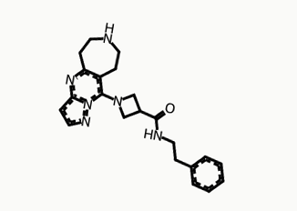 O=C(NCCc1ccccc1)C1CN(c2c3c(nc4ccnn24)CCNCC3)C1